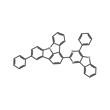 c1ccc(-c2ccc3c(c2)c2ccc(-c4nc(-c5ccccc5)c5sc6ccccc6c5n4)c4c5ccccc5n3c24)cc1